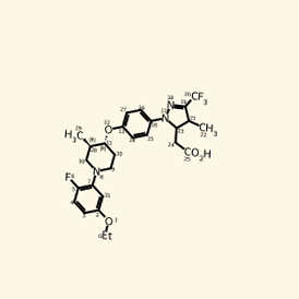 CCOc1ccc(F)c(N2CC[C@@H](Oc3ccc(N4N=C(C(F)(F)F)C(C)C4CC(=O)O)cc3)[C@H](C)C2)c1